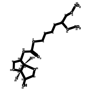 O=C(OCCCCC(CO[N+](=O)[O-])O[N+](=O)[O-])OC1CO[C@@H]2C(O)CO[C@H]12